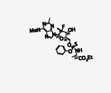 CCOC(=O)[C@H](C)NP(=S)(OC[C@H]1O[C@@H](n2cnc3c(NC)nc(C)nc32)[C@](C)(F)[C@@H]1O)Oc1ccccc1